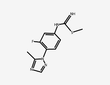 CSC(=N)Nc1ccc(-n2ncnc2C)c(F)c1